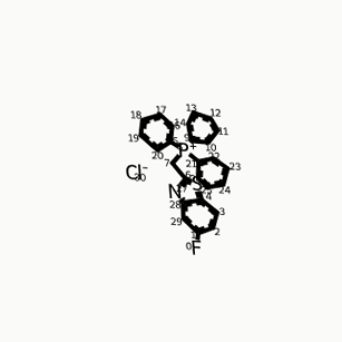 Fc1ccc2sc(C[P+](c3ccccc3)(c3ccccc3)c3ccccc3)nc2c1.[Cl-]